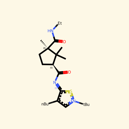 CCCCc1cn(C(C)(C)C)s/c1=N\C(=O)[C@H]1CC[C@@](C)(C(=O)NCC)C1(C)C